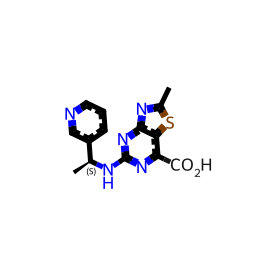 Cc1nc2nc(N[C@@H](C)c3cccnc3)nc(C(=O)O)c2s1